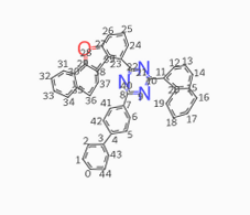 c1ccc(-c2ccc(-c3nc(-c4cccc5ccccc45)nc(-c4cccc5oc6c7ccccc7ccc6c45)n3)cc2)cc1